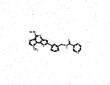 CNc1nc2cc(-c3cccc(CNC(=O)c4cnccn4)c3)sc2c2c1ncn2C